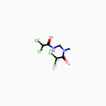 CN(CNC(=O)C(Cl)Cl)C(=O)C(Cl)Cl